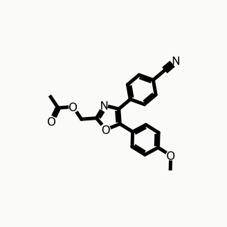 COc1ccc(-c2oc(COC(C)=O)nc2-c2ccc(C#N)cc2)cc1